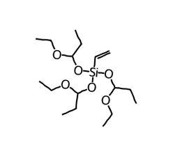 C=C[Si](OC(CC)OCC)(OC(CC)OCC)OC(CC)OCC